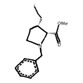 COC(=O)[C@H]1[C@@H](CI)CCN1Cc1ccccc1